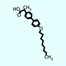 CCCCCCCCCOc1ccc(-c2ccc(C(C)C(=O)O)cc2)cc1